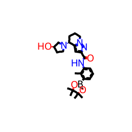 Cc1c(NC(=O)c2cc3n(n2)CCC[C@H]3N2CC[C@@H](O)C2)cccc1B1OC(C)(C)C(C)(C)O1